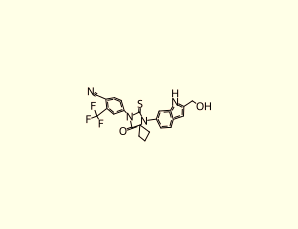 N#Cc1ccc(N2C(=O)C3(CCC3)N(c3ccc4cc(CO)[nH]c4c3)C2=S)cc1C(F)(F)F